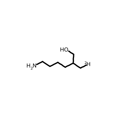 [2H]CC(CO)CCCCN